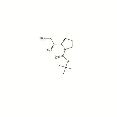 CC(C)(C)OC(=O)N1CCC[C@@H]1[C@@H](O)CO